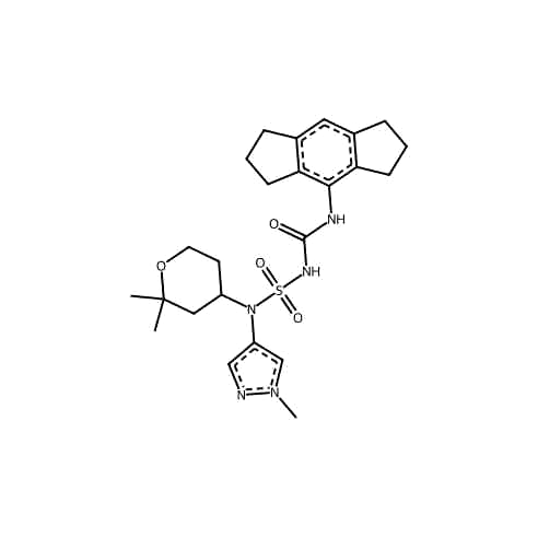 Cn1cc(N(C2CCOC(C)(C)C2)S(=O)(=O)NC(=O)Nc2c3c(cc4c2CCC4)CCC3)cn1